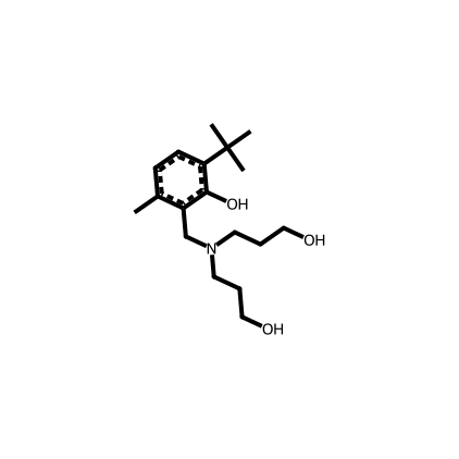 Cc1ccc(C(C)(C)C)c(O)c1CN(CCCO)CCCO